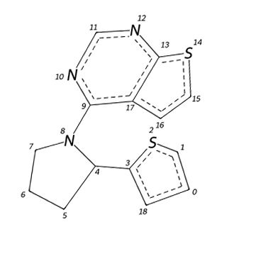 c1csc(C2CCCN2c2ncnc3sccc23)c1